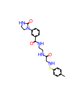 Cc1ccc(SNCC(=O)NCCNC(=O)c2cccc(N3CCNC3=O)c2)cc1